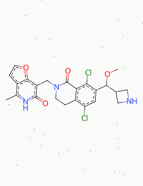 COC(c1cc(Cl)c2c(c1Cl)C(=O)N(Cc1c(=O)[nH]c(C)c3ccoc13)CC2)C1CNC1